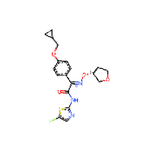 O=C(Nc1ncc(F)s1)/C(=N/O[C@@H]1CCOC1)c1ccc(OCC2CC2)cc1